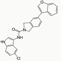 O=C(Nc1c[nH]c2ccc(Cl)cc12)N1Cc2ccc(-c3coc4ccccc34)cc2C1